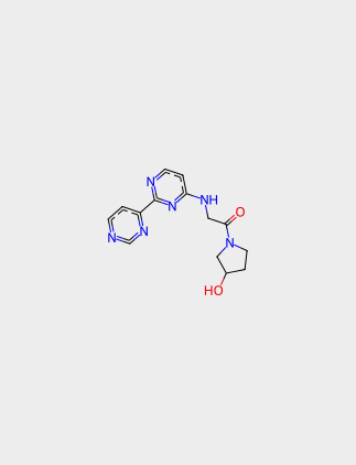 O=C(CNc1ccnc(-c2ccncn2)n1)N1CCC(O)C1